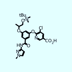 CC(CO[Si](C)(C)C(C)(C)C)Oc1cc(Oc2ncc(C(=O)O)cc2Cl)cc(C(=O)Nc2ccn(C)n2)c1